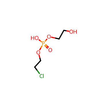 O=P(O)(OCCO)OCCCl